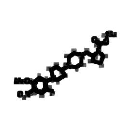 COc1cc(N2CCC(N3CCN(CC4CCCN4C(=O)OC(C)(C)C)CC3)CC2)c(C)cc1[N+](=O)[O-]